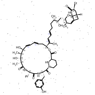 CC[C@H]1C[C@@H]2CC3=C[C@@H](C)[C@H](C[C@H](O)[C@@H](C)CC/C=C/C=C(\C)[C@@H]4C/C=C/C=C/[C@H](O)[C@H](C)[C@@H](O)[C@@H](C)C(=O)N[C@@H](C(C)C)C(=O)N[C@@H](Cc5cccc(O)c5)C(=O)N5CCCC(N5)C(=O)O4)O[C@@]32NC1=O